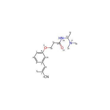 CC(C#N)=Cc1cccc(OCCC(=O)NC(C)N(C)C)c1